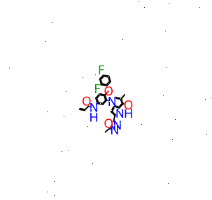 C=CC(=O)Nc1ccc(Oc2ccc(F)cc2F)c(-n2cc(C)c(=O)c3[nH]c(-c4nnc(C)o4)cc32)c1